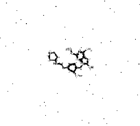 CCCCOc1nc(N)c2nc(O)n(Cc3ccc(CCNC4CCNCC4)cc3OC)c2n1